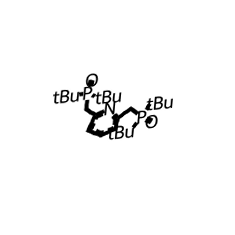 CC(C)(C)P(=O)(Cc1cccc(CP(=O)(C(C)(C)C)C(C)(C)C)n1)C(C)(C)C